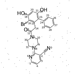 N#Cc1cccnc1N1CCN(C(=O)Cc2c(Br)c(O)cc(O)c2-c2ccccc2)CC1